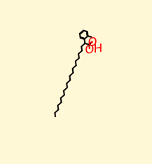 CCCCCCCCCCCCCCCCCCCCC(C(=O)O)c1ccccc1C